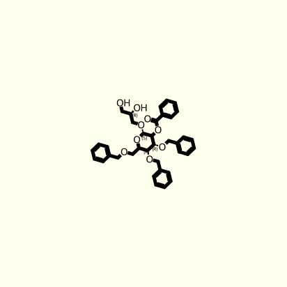 O=C(OC1[C@@H](OC[C@H](O)CO)OC(COCc2ccccc2)[C@@H](OCc2ccccc2)[C@H]1OCc1ccccc1)c1ccccc1